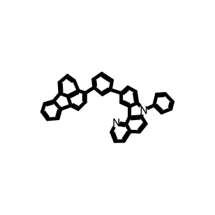 c1ccc(-n2c3ccc(-c4cccc(-c5ccc6c7c(cccc57)-c5ccccc5-6)c4)cc3c3c4ncccc4ccc32)cc1